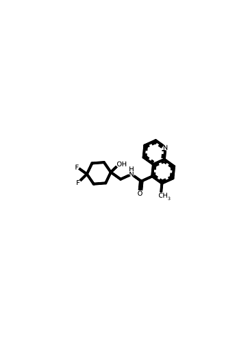 Cc1ccc2ncccc2c1C(=O)NCC1(O)CCC(F)(F)CC1